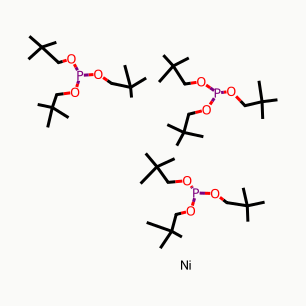 CC(C)(C)COP(OCC(C)(C)C)OCC(C)(C)C.CC(C)(C)COP(OCC(C)(C)C)OCC(C)(C)C.CC(C)(C)COP(OCC(C)(C)C)OCC(C)(C)C.[Ni]